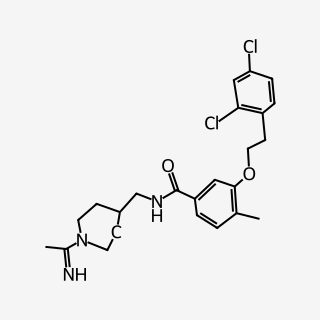 CC(=N)N1CCC(CNC(=O)c2ccc(C)c(OCCc3ccc(Cl)cc3Cl)c2)CC1